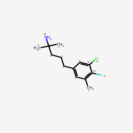 Cc1cc(CCCC(C)(C)N)cc(Cl)c1F